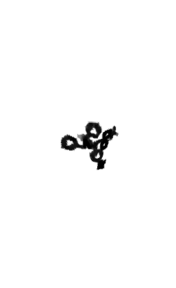 C[C@H](c1ccccc1)N(Cc1ccccc1)[C@@H](CC(=O)OC(C)(C)C)c1ccc(Br)cc1